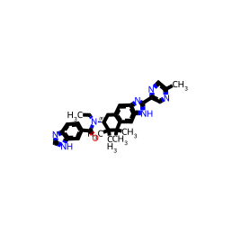 CCN(C(=O)c1ccc2nc[nH]c2c1)[C@@H]1Cc2cc3nc(-c4cnc(C)cn4)[nH]c3cc2C(C)(C)C1(C)C